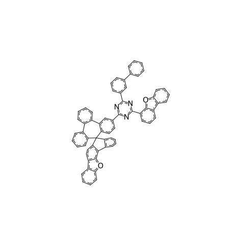 c1ccc(-c2cccc(-c3nc(-c4ccc5c(c4)-c4ccccc4-c4ccccc4C54c5ccccc5-c5c4ccc4c5oc5ccccc54)nc(-c4cccc5c4oc4ccccc45)n3)c2)cc1